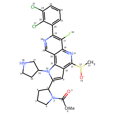 COC(=O)N1CCCC1c1cc2c([S+](C)[O-])nc3c(F)c(-c4cccc(Cl)c4Cl)ncc3c2n1C1CCNC1